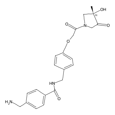 C[C@]1(O)CN(C(=O)COc2ccc(CNC(=O)c3ccc(CN)cc3)cc2)CC1=O